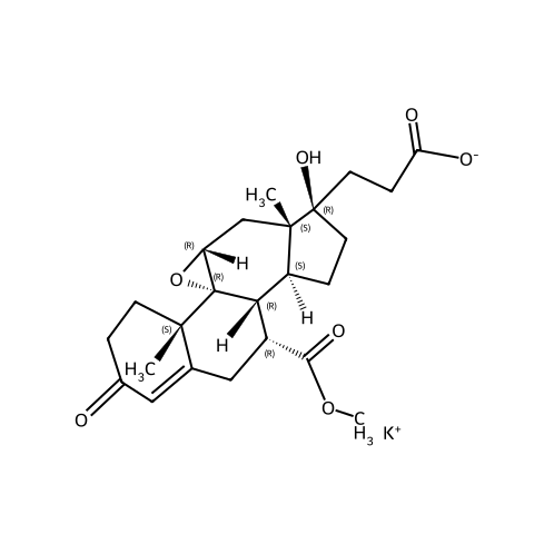 COC(=O)[C@@H]1CC2=CC(=O)CC[C@]2(C)[C@@]23O[C@@H]2C[C@@]2(C)[C@@H](CC[C@@]2(O)CCC(=O)[O-])[C@H]13.[K+]